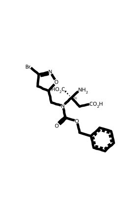 N[C@](CC(=O)O)(C(=O)O)N(CC1CC(Br)=NO1)C(=O)OCc1ccccc1